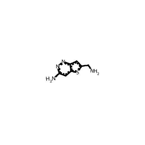 NCc1cc2nnc(N)cc2s1